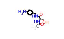 CC(=O)N[C@@H](CO)C(=O)NCc1ccc(N)cc1